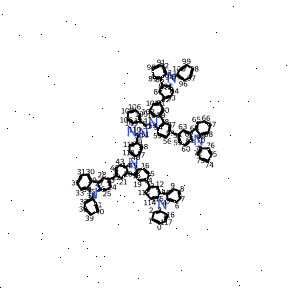 c1ccc(-n2c3ccccc3c3cc(-c4ccc5c(c4)c4cc(-c6ccc7c(c6)c6ccccc6n7-c6ccccc6)ccc4n5-c4ccc(-c5nc(-n6c7ccc(-c8ccc9c(c8)c8ccccc8n9-c8ccccc8)cc7c7cc(-c8ccc9c(c8)c8ccccc8n9-c8ccccc8)ccc76)c6ccccc6n5)cc4)ccc32)cc1